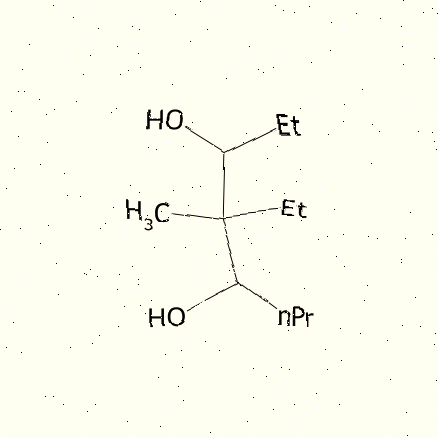 CCCC(O)C(C)(CC)C(O)CC